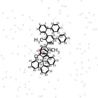 Cc1c(-c2ccccc2-c2ccccc2)cc(-c2ccccc2)nc1C1C=CC=C(c2ccccc2C2(c3ccccc3)c3ccccc3Oc3ccccc32)C1C